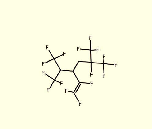 FC(F)=C(F)C(CC(F)(C(F)(F)F)C(F)(F)F)C(C(F)(F)F)C(F)(F)F